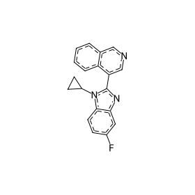 Fc1ccc2c(c1)nc(-c1cncc3ccccc13)n2C1CC1